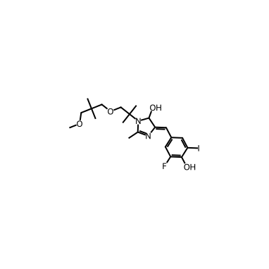 COCC(C)(C)COCC(C)(C)N1C(C)=N/C(=C\c2cc(F)c(O)c(I)c2)C1O